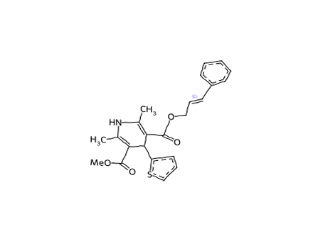 COC(=O)C1=C(C)NC(C)=C(C(=O)OC/C=C/c2ccccc2)C1c1cccs1